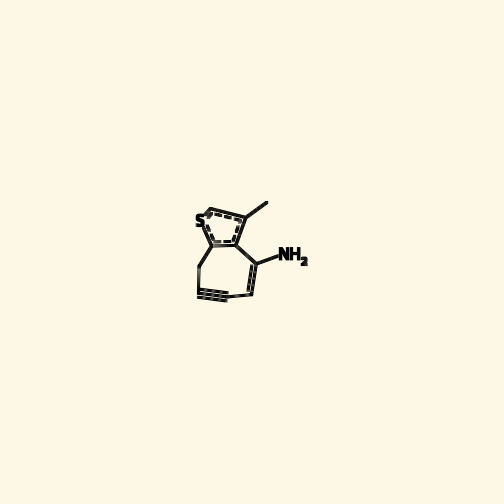 Cc1csc2c1C(N)=CC#CC2